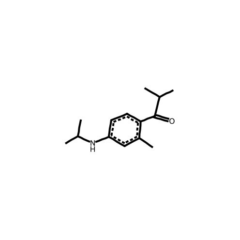 Cc1cc(NC(C)C)ccc1C(=O)C(C)C